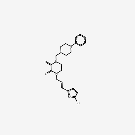 O=C1C(=O)N(CC2CCN(c3ccncc3)CC2)CCN1CC=Cc1ccc(Cl)s1